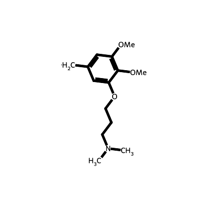 [CH2]c1cc(OC)c(OC)c(OCCCN(C)C)c1